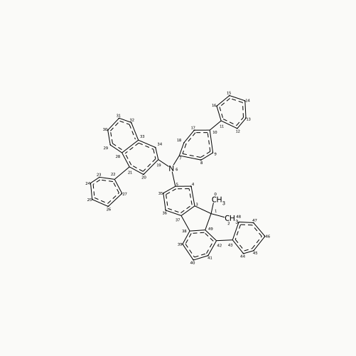 CC1(C)c2cc(N(c3ccc(-c4ccccc4)cc3)c3cc(-c4ccccc4)c4ccccc4c3)ccc2-c2cccc(-c3ccccc3)c21